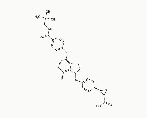 CC(C)(O)CNC(=O)c1ccc(Oc2ccc(F)c3c2CC[C@H]3Oc2ccc([C@H]3C[C@@H]3C(=O)O)cc2)cc1